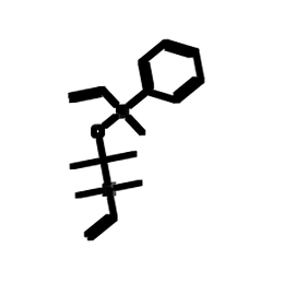 C=C[Si](C)(OC(C)(C)[Si](C)(C)C=C)c1ccccc1